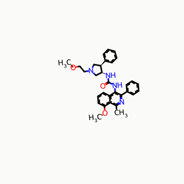 COCCN1C[C@@H](NC(=O)Nc2c(-c3ccccc3)nc(C)c3c(OC)cccc23)[C@H](c2ccccc2)C1